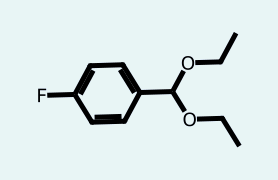 CCOC(OCC)c1ccc(F)cc1